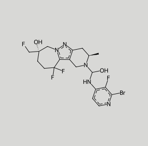 C[C@@H]1Cc2nn3c(c2CN1C(O)Nc1ccnc(Br)c1F)C(F)(F)CC[C@@](O)(CF)C3